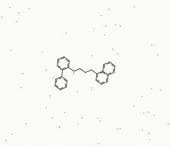 [CH](CCCc1cccc2ccccc12)c1ccccc1-c1ccccc1